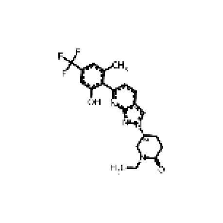 CCN1C[C@@H](n2cc3ccc(-c4c(C)cc(C(F)(F)F)cc4O)nc3n2)CCC1=O